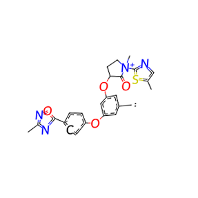 [CH]c1cc(Oc2ccc(-c3nc(C)no3)cc2)cc(OC2CC[N+](C)(c3ncc(C)s3)C2=O)c1